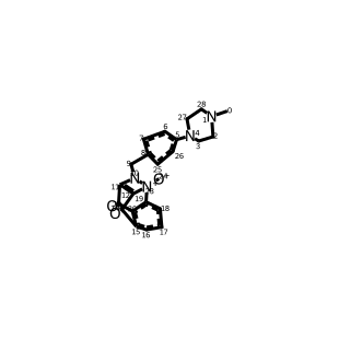 CN1CCN(c2ccc(CN3C4=C5C(=O)c6cccc(c6C4=O)[N+]53[O-])cc2)CC1